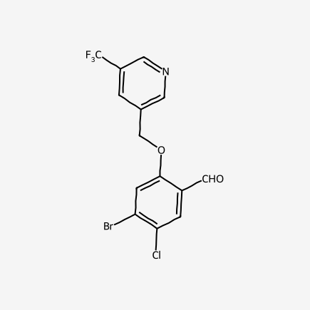 O=Cc1cc(Cl)c(Br)cc1OCc1cncc(C(F)(F)F)c1